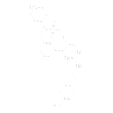 CS(=O)(=O)N(Cc1cccc(-c2nc(NCCc3ccc(O)cc3)ncc2F)c1)C1CCNCC1